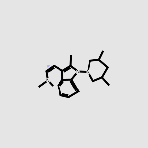 Cc1c(/C=C\N(C)C)c2ccccc2n1N1CC(C)CC(C)C1